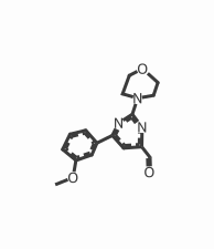 COc1cccc(-c2cc(C=O)nc(N3CCOCC3)n2)c1